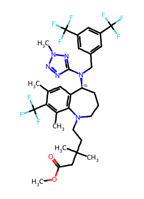 COC(=O)CC(C)(C)CCN1CCC[C@H](N(Cc2cc(C(F)(F)F)cc(C(F)(F)F)c2)c2nnn(C)n2)c2cc(C)c(C(F)(F)F)c(C)c21